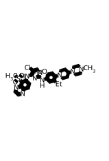 CCc1cc(Nc2ncc(Cl)c(Nc3ccc4nccnc4c3S(C)(=O)=O)n2)c(OC)cc1N1CCC(N2CCN(C)CC2)CC1